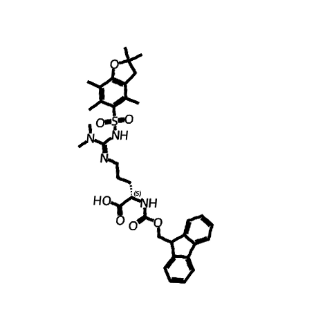 Cc1c(C)c(S(=O)(=O)NC(=NCCC[C@H](NC(=O)OCC2c3ccccc3-c3ccccc32)C(=O)O)N(C)C)c(C)c2c1OC(C)(C)C2